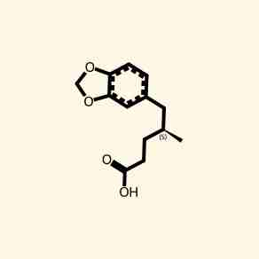 C[C@@H](CCC(=O)O)Cc1ccc2c(c1)OCO2